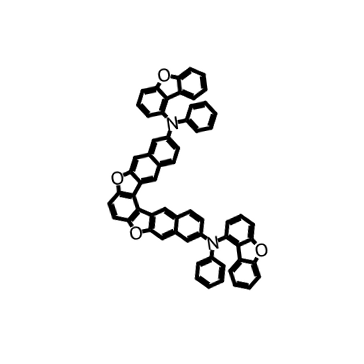 c1ccc(N(c2ccc3cc4c(cc3c2)oc2ccc3oc5cc6cc(N(c7ccccc7)c7cccc8oc9ccccc9c78)ccc6cc5c3c24)c2cccc3oc4ccccc4c23)cc1